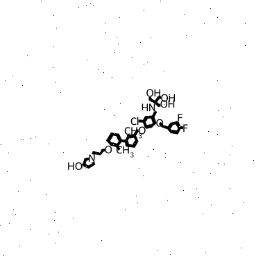 Cc1c(COc2cc(OCc3ccc(F)c(F)c3)c(CNC(CO)(CO)CO)cc2Cl)cccc1-c1cccc(OCCCN2CC[C@@H](O)C2)c1C